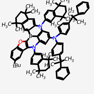 CC(C)(C)c1ccc2oc3c(c2c1)N(c1ccc2c(c1)C(C)(C)CCC2(C)C)c1cc(N(c2ccc(C(C)(C)c4ccccc4)cc2)c2ccc(C(C)(C)c4ccccc4)cc2)cc2c1B3c1cc3c(cc1N2c1ccc2c(c1)C(C)(C)CCC2(C)C)C(C)(C)CCC3(C)C